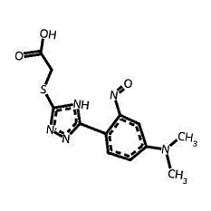 CN(C)c1ccc(-c2nnc(SCC(=O)O)[nH]2)c(N=O)c1